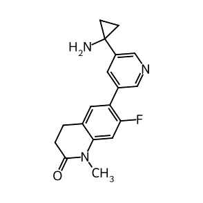 CN1C(=O)CCc2cc(-c3cncc(C4(N)CC4)c3)c(F)cc21